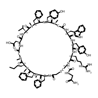 CCCC[C@H]1C(=O)N(C)CC(=O)N[C@@H](CC(=O)O)C(=O)N[C@@H](C(C)C)C(=O)N(C)[C@@H](Cc2ccccc2)C(=O)N[C@@H](Cc2ccc(O)cc2)C(=O)N(C)CC(=O)N[C@@H](Cc2c[nH]c3ccccc23)C(=O)N[C@@H](Cc2ccc(O)cc2)C(=O)N[C@@H](CCCNC(=N)N)C(=O)N[C@H](C(=O)NCC(N)=O)CSCC(=O)N[C@@H](Cc2ccccc2)C(=O)N(C)[C@@H](Cc2ccccc2)C(=O)N1C